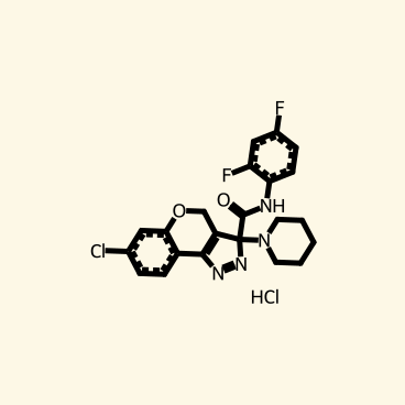 Cl.O=C(Nc1ccc(F)cc1F)C1(N2CCCCC2)N=NC2=C1COc1cc(Cl)ccc12